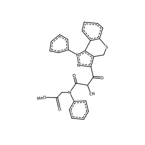 COC(=O)CN(C(=O)C(C#N)C(=O)c1nn(-c2ccccc2)c2c1CSc1ccccc1-2)c1ccccc1